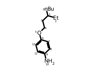 CCCCC(CC)CCOc1ccc(N)cc1